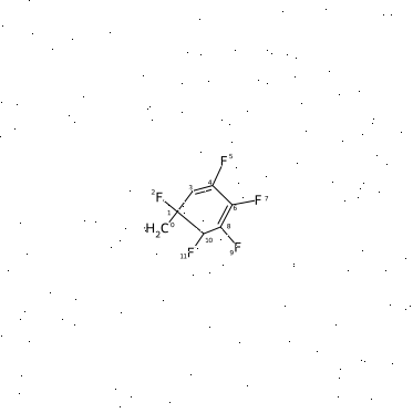 [CH2]C1(F)C=C(F)C(F)=C(F)C1F